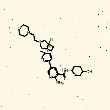 CC1([C@@]23CC[C@@H]2CN(CCN2CCOCC2)C3)C=CC(c2cnc(N)c(C(=O)N[C@H]3CC[C@H](O)CC3)c2)=CC1